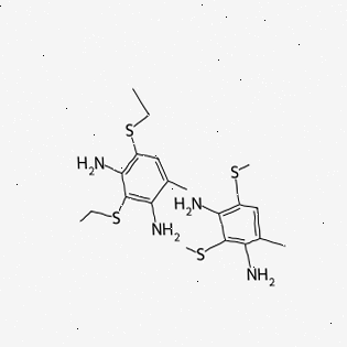 CCSc1cc(C)c(N)c(SCC)c1N.CSc1cc(C)c(N)c(SC)c1N